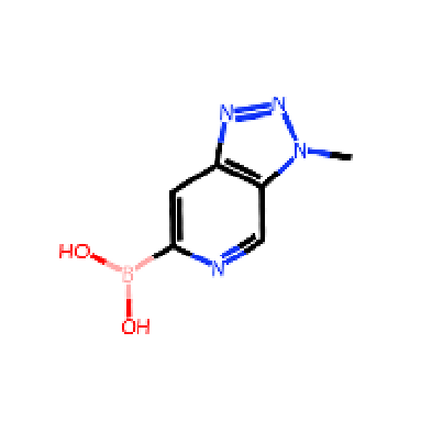 Cn1nnc2cc(B(O)O)ncc21